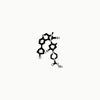 Cc1cc(N2CCN(C(=O)OC(C)(C)C)CC2)c(N)cc1-n1c(=N)n(C)c2cnc3ccc(-c4ccc(Cl)cc4)cc3c21